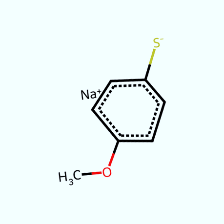 COc1ccc([S-])cc1.[Na+]